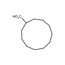 O=C(O)C1CCCCCCCCCC1